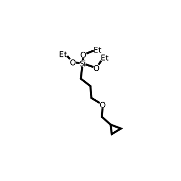 CCO[Si](CCCOCC1CC1)(OCC)OCC